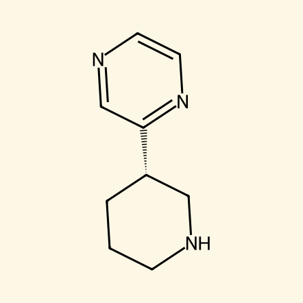 c1cnc([C@H]2CCCNC2)cn1